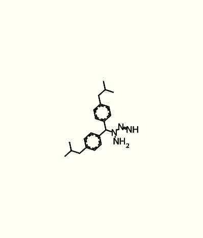 CC(C)Cc1ccc(C(c2ccc(CC(C)C)cc2)N(N)N=N)cc1